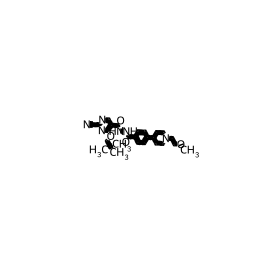 COCCN1CCC(c2ccc(C(=O)NNC(=O)c3cnc(C#N)nc3OCC(C)(C)C)cc2)CC1